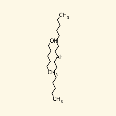 CCCCCCC[CH2][Al][CH2]CCCCCCC.CCCCCCO